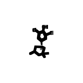 CC1C[C@H](c2cc(Cl)c(O)c(Cl)c2)CC(C)(C)C1